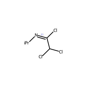 CC(C)/N=C(/Cl)C(Cl)Cl